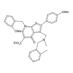 CCOC(=O)c1cn(Cc2ccccc2OC)c2sc(-c3ccc(OC)cc3)c(CN(C)Cc3ccccc3C)c2c1=O